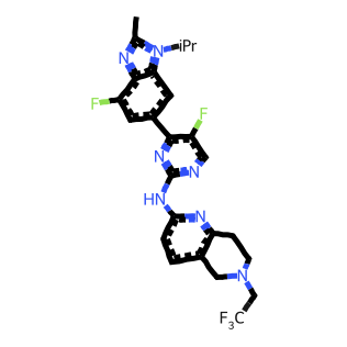 Cc1nc2c(F)cc(-c3nc(Nc4ccc5c(n4)CCN(CC(F)(F)F)C5)ncc3F)cc2n1C(C)C